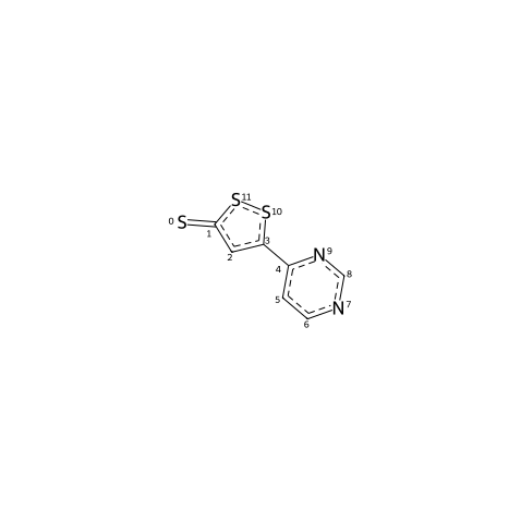 S=c1cc(-c2ccncn2)ss1